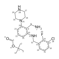 CC(C)(C)OC=O.NCc1c(NCc2cccc(Cl)c2F)cccc1N1CCNCC1